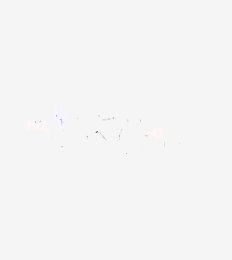 CCCCCOC1CCc2cc([C@H]3CC[C@](N)(CO)C3)ccc2C1